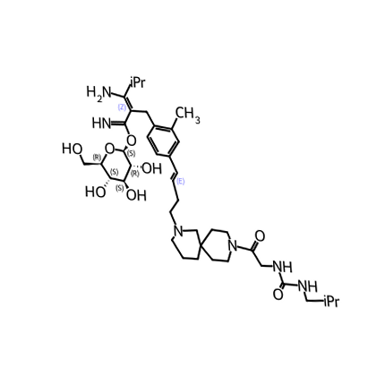 Cc1cc(/C=C/CCN2CCCC3(CCN(C(=O)CNC(=O)NCC(C)C)CC3)C2)ccc1C/C(C(=N)O[C@@H]1O[C@H](CO)[C@@H](O)[C@H](O)[C@H]1O)=C(/N)C(C)C